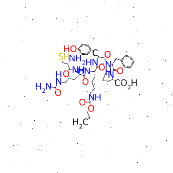 C=CCOC(=O)NCCCC[C@H](NC(=O)[C@H](CCCNC(N)=O)NC(=O)[C@@H](N)CS)C(=O)N[C@@H](Cc1ccc(O)cc1)C(=O)N[C@@H](Cc1ccccc1)C(=O)N1CCC[C@H]1C(=O)O